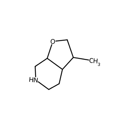 CC1COC2CNCCC12